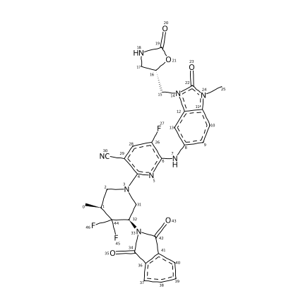 C[C@H]1CN(c2nc(Nc3ccc4c(c3)n(C[C@@H]3CNC(=O)O3)c(=O)n4C)c(F)cc2C#N)C[C@@H](N2C(=O)c3ccccc3C2=O)C1(F)F